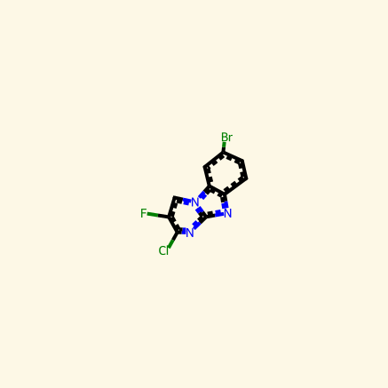 Fc1cn2c(nc1Cl)nc1ccc(Br)cc12